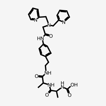 CC(NC(=O)O)C(=O)NC(C)C(=O)NCCc1ccc(NC(=O)CN(Cc2ccccn2)Cc2ccccn2)cc1